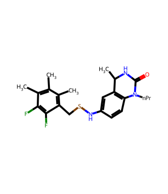 CCCN1C(=O)NC(C)c2cc(NSCc3c(C)c(C)c(C)c(F)c3F)ccc21